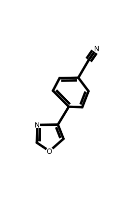 N#Cc1ccc(-c2cocn2)cc1